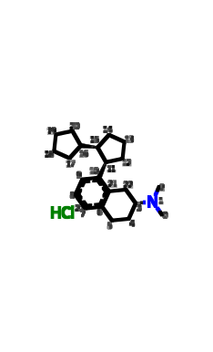 CN(C)[C@@H]1CCc2cccc([C@@H]3CCC[C@@H]3C3CCCC3)c2C1.Cl